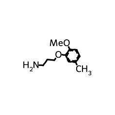 COc1ccc(C)cc1OCCCN